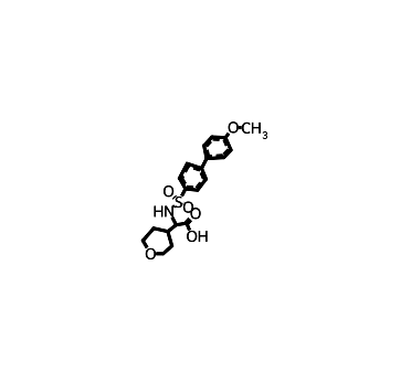 COc1ccc(-c2ccc(S(=O)(=O)NC(C(=O)O)C3CCOCC3)cc2)cc1